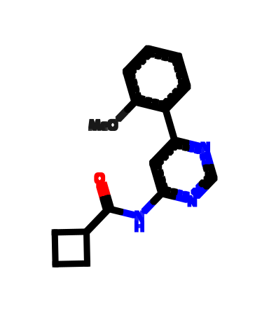 COc1ccccc1-c1cc(NC(=O)C2CCC2)ncn1